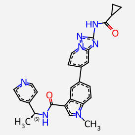 C[C@H](NC(=O)c1cn(C)c2ccc(-c3ccn4nc(NC(=O)C5CC5)nc4c3)cc12)c1ccncc1